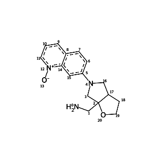 NCC12CN(c3ccc4ccc[n+]([O-])c4c3)CC1CCO2